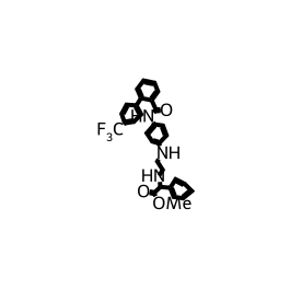 COC(=O)C(NCCNc1ccc(NC(=O)c2ccccc2-c2ccc(C(F)(F)F)cc2)cc1)c1ccccc1